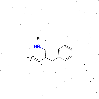 C=CC(CNCC)Cc1ccccc1